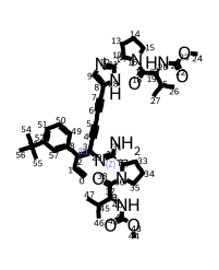 C=C/C(=C(C#CC#Cc1cnc([C@@H]2CCCN2C(=O)[C@@H](NC(=O)OC)C(C)C)[nH]1)\N=C(/N)[C@@H]1CCCN1C(=O)[C@@H](NC(=O)OC)C(C)C)c1cccc(C(C)(C)C)c1